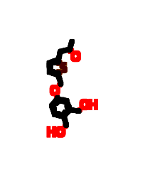 CC(=O)Cc1ccc(COc2ccc(CO)c(CO)c2)s1